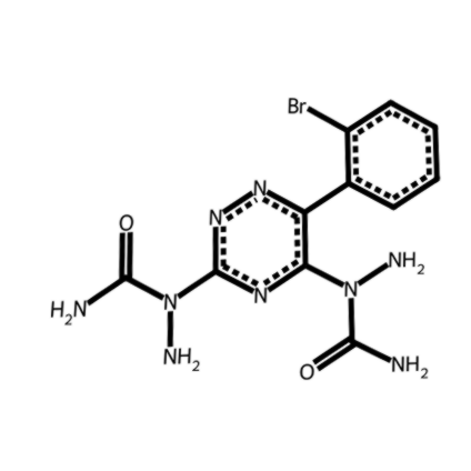 NC(=O)N(N)c1nnc(-c2ccccc2Br)c(N(N)C(N)=O)n1